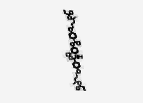 C=CC(=O)OC(C)CCCOc1ccc(C(=O)Nc2ccc(OC(=O)c3ccc(OCCCC(C)OC(=O)C=C)cc3)cc2Cl)cc1